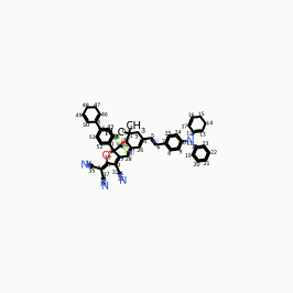 CC1(C)CC(/C=C/c2ccc(N(C3=CCCC=C3)c3ccccc3)cc2)=CC(=C/C2=C(C#N)C(=C(C#N)C#N)OC2(c2ccc(C3=CCCC=C3)cc2)C(F)(F)F)/C1